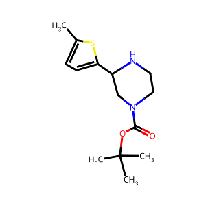 Cc1ccc(C2CN(C(=O)OC(C)(C)C)CCN2)s1